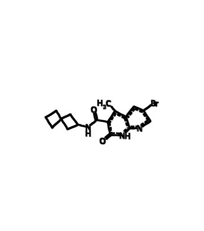 Cc1c(C(=O)NC2CC3(CCC3)C2)c(=O)[nH]c2ncc(Br)cc12